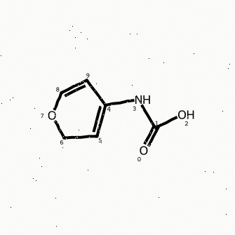 O=C(O)NC1=CCOC=C1